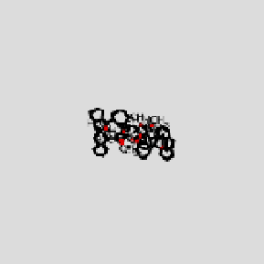 COc1ccc2ccccc2c1C1C=CC=CC2=C1C=C(C)[C]21[SiH](C)[C]2(C(C)=CC3=C2C=CC=CC3c2c(OC)ccc3ccccc23)[Zr]12([Cl])([Cl])[C]1(C(C)=CC3=C1C=CC=CC3c1c(OC)ccc3ccccc13)[SiH](C)[C]21C(C)=CC2=C1C=CC=CC2c1c(OC)ccc2ccccc12